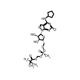 CC(C)(C)C(=O)OCOP(C)(=O)OOC[C@H]1O[C@@H](n2ncc3c(NC4CCCC4)nc(Cl)nc32)[C@H](O)[C@@H]1O